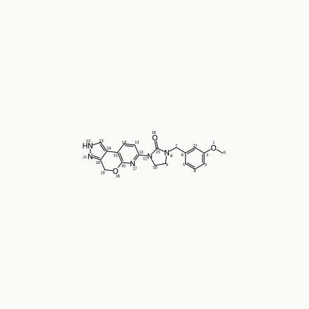 COc1cccc(CN2CCN(c3ccc4c(n3)OCc3n[nH]cc3-4)C2=O)c1